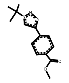 COC(=O)c1ccc(-c2cn(C(C)(C)C)nn2)cc1